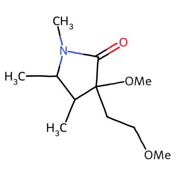 COCCC1(OC)C(=O)N(C)C(C)C1C